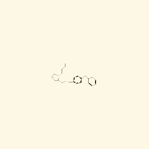 O=C(O)CCCN1CCCC1COCc1ccc(CC2C=CC=CC2)cc1